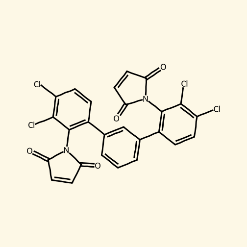 O=C1C=CC(=O)N1c1c(-c2cccc(-c3ccc(Cl)c(Cl)c3N3C(=O)C=CC3=O)c2)ccc(Cl)c1Cl